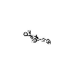 Cc1c(SCCSCc2ccncc2)ccnc1CNc1cnc2ccccc2c1